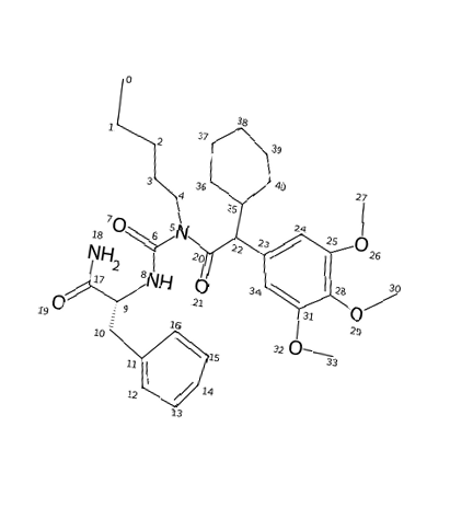 CCCCCN(C(=O)N[C@H](Cc1ccccc1)C(N)=O)C(=O)C(c1cc(OC)c(OC)c(OC)c1)C1CCCCC1